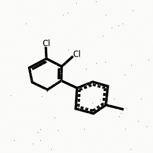 Cc1ccc(C2=C(Cl)C(Cl)=CC[CH]2)cc1